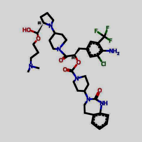 CN(C)CCCOC(O)[C@@H]1CCCN1C1CCN(C(=O)[C@@H](Cc2cc(Cl)c(N)c(C(F)(F)F)c2)OC(=O)N2CCC(N3CCc4ccccc4NC3=O)CC2)CC1